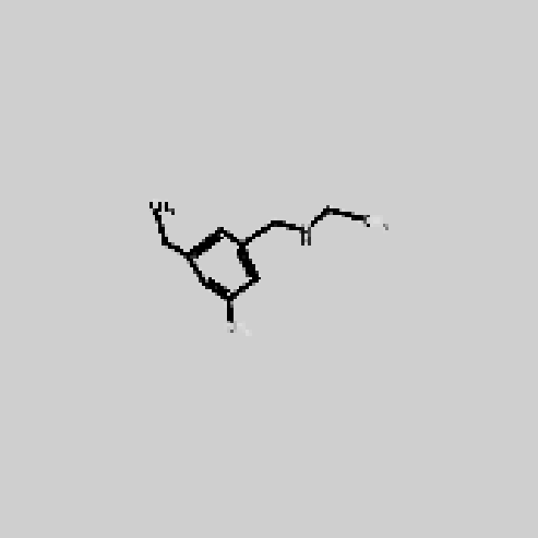 CCNCc1cc(C)cc(CC)c1